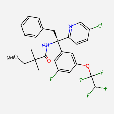 COCC(C)(C)C(=O)N[C@@](Cc1ccccc1)(c1cc(F)cc(OC(F)(F)C(F)F)c1)c1ccc(Cl)cn1